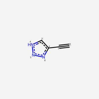 [C]#Cc1c[nH]nn1